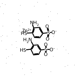 Nc1cc(S(=O)(=O)[O-])ccc1S.Nc1cc(S(=O)(=O)[O-])ccc1S.[Zn+2]